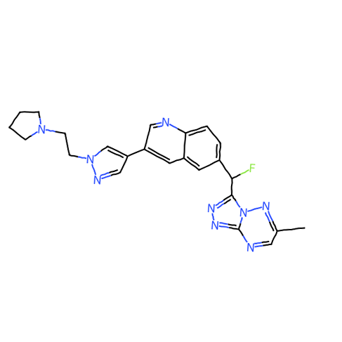 Cc1cnc2nnc(C(F)c3ccc4ncc(-c5cnn(CCN6CCCC6)c5)cc4c3)n2n1